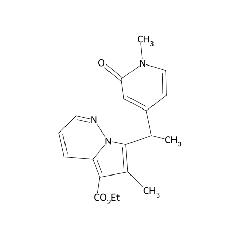 CCOC(=O)c1c(C)c(C(C)c2ccn(C)c(=O)c2)n2ncccc12